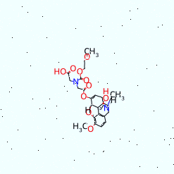 COCCOC(=O)N(CC(=O)O)CC(=O)OC1=CC[C@@]2(O)[C@H]3Cc4ccc(OC)c5c4[C@@]2(CCN3C)[C@H]1O5